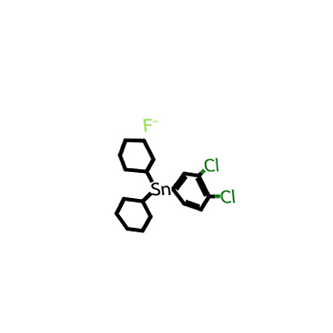 Clc1cc[c]([Sn+]([CH]2CCCCC2)[CH]2CCCCC2)cc1Cl.[F-]